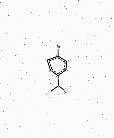 FC(Cl)c1ccc(Br)cc1